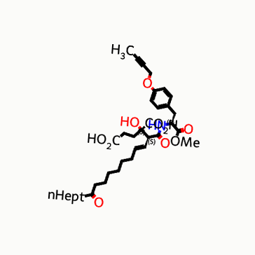 CC#CCOc1ccc(C[C@H](NC(=O)[C@@H](C=CCCCCCCC(=O)CCCCCCC)[C@@](O)(CCC(=O)O)C(=O)O)C(=O)OC)cc1